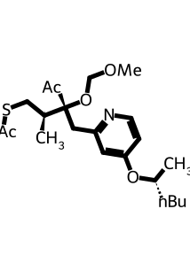 CCCC[C@@H](C)Oc1ccnc(C[C@](OCOC)(C(C)=O)[C@@H](C)CSC(C)=O)c1